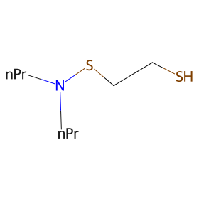 CCCN(CCC)SCCS